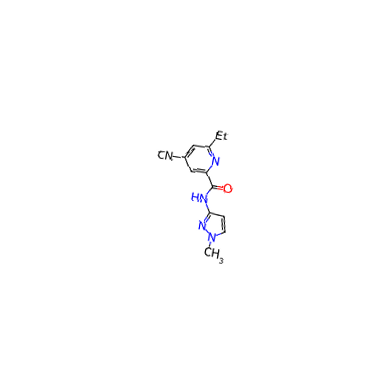 [C-]#[N+]c1cc(CC)nc(C(=O)Nc2ccn(C)n2)c1